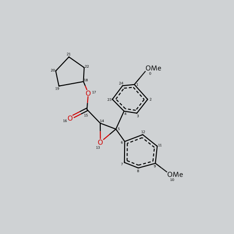 COc1ccc(C2(c3ccc(OC)cc3)OC2C(=O)OC2CCCC2)cc1